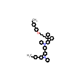 C=CC1=CC=C(c2ccc(OCCCCCCC3(C4=CCCC=C4)C4=CC(N(c5ccccc5)c5ccc(-c6ccc7c(c6)c6cc(-c8ccc(C=C)cc8)ccc6n7-c6cc#ccc6)cc5)CC=C4C4C=CCCC43)cc2)CC1